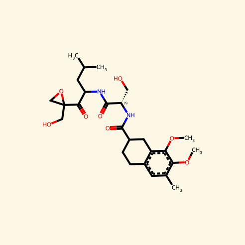 COc1c(C)cc2c(c1OC)CC(C(=O)N[C@@H](CO)C(=O)NC(CC(C)C)C(=O)C1(CO)CO1)CC2